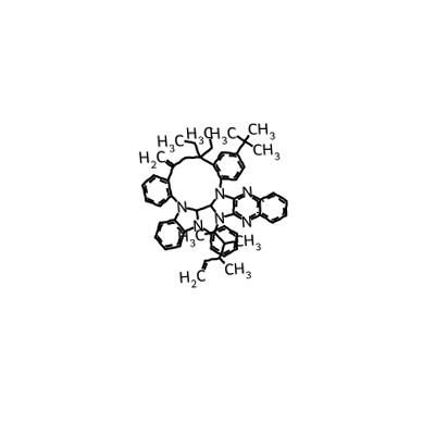 C=CC(C)C(C)C(C)N1c2nc3ccccc3nc2N2c3ccc(C(C)(C)C)cc3C(CC)(CC)CC(=C)c3ccccc3N3c4ccccc4N(c4ccccc4)C3C21